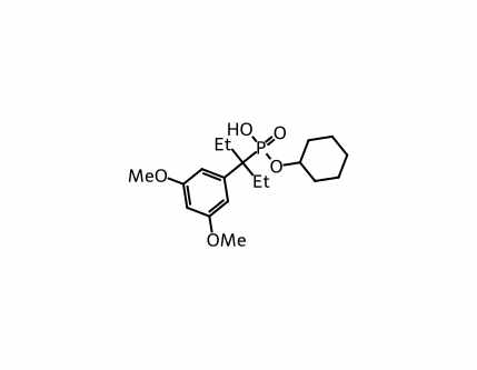 CCC(CC)(c1cc(OC)cc(OC)c1)P(=O)(O)OC1CCCCC1